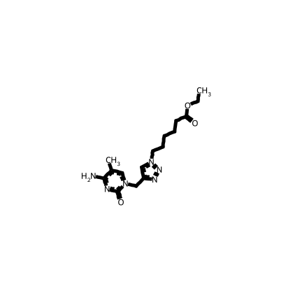 CCOC(=O)CCCCCn1cc(Cn2cc(C)c(N)nc2=O)nn1